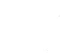 C/C(O[SiH](C)C)=C(/c1cccc(Cl)c1)C(C)(C)C